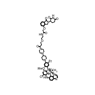 CCc1cc(Nc2ncc(Cl)c(Nc3ccc4nccnc4c3NS(C)(=O)=O)n2)c(OC)cc1N1CCC(N2CCN(C(=O)CCOCCNC(=O)COc3cccc4c3CN(C3CCC(=O)NC3=O)C4=O)CC2)CC1